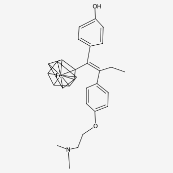 CCC(=C(c1ccc(O)cc1)[C]12[CH]3[CH]4[CH]5[CH]1[Fe]45321678[CH]2[CH]1[CH]6[CH]7[CH]28)c1ccc(OCCN(C)C)cc1